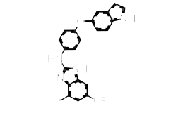 FC(F)(F)c1cc(Cl)c2nc(Nc3ccc(Oc4ccc5[nH]ccc5c4)cc3)[nH]c2c1